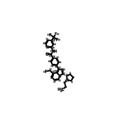 CCCN1CCC[C@H]1c1nc(-c2ccc(C(=O)Nc3cc(C(F)(F)F)ccn3)cc2)c2c(CF)nccn12